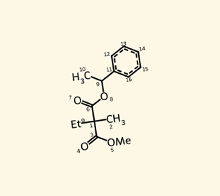 CCC(C)(C(=O)OC)C(=O)OC(C)c1ccccc1